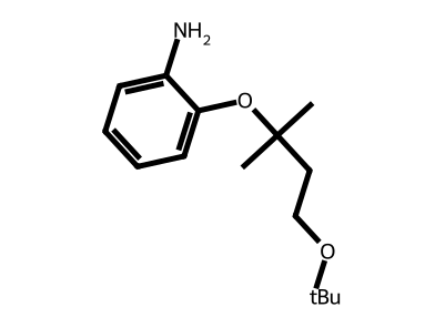 CC(C)(C)OCCC(C)(C)Oc1ccccc1N